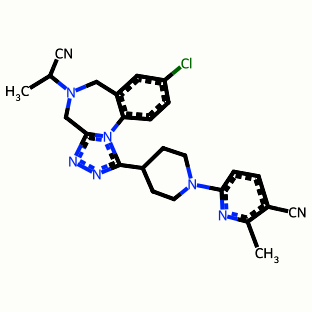 Cc1nc(N2CCC(c3nnc4n3-c3ccc(Cl)cc3CN(C(C)C#N)C4)CC2)ccc1C#N